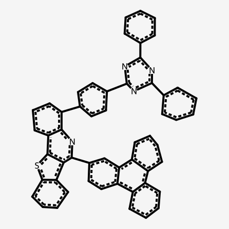 c1ccc(-c2nc(-c3ccccc3)nc(-c3ccc(-c4cccc5c4nc(-c4ccc6c7ccccc7c7ccccc7c6c4)c4c6ccccc6sc54)cc3)n2)cc1